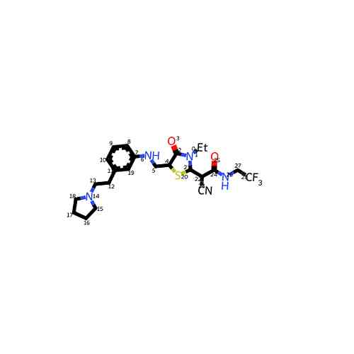 CCN1C(=O)C(CNc2cccc(CCN3CCCC3)c2)SC1C(C#N)C(=O)NCC(F)(F)F